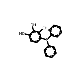 Cc1c(P(c2ccccc2)c2ccccc2)ccc(O)c1O